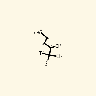 CCCCCCC(Cl)[C](Cl)(Cl)[Ti]